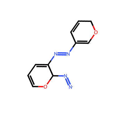 [N]=NC1OC=CC=C1N=NC1=[C]OCC=C1